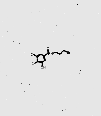 O=C(NCCCBr)c1cc(O)c(Cl)c(Cl)c1